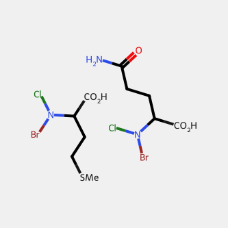 CSCCC(C(=O)O)N(Cl)Br.NC(=O)CCC(C(=O)O)N(Cl)Br